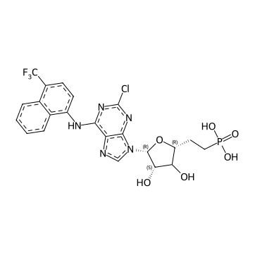 O=P(O)(O)CC[C@H]1O[C@@H](n2cnc3c(Nc4ccc(C(F)(F)F)c5ccccc45)nc(Cl)nc32)[C@@H](O)C1O